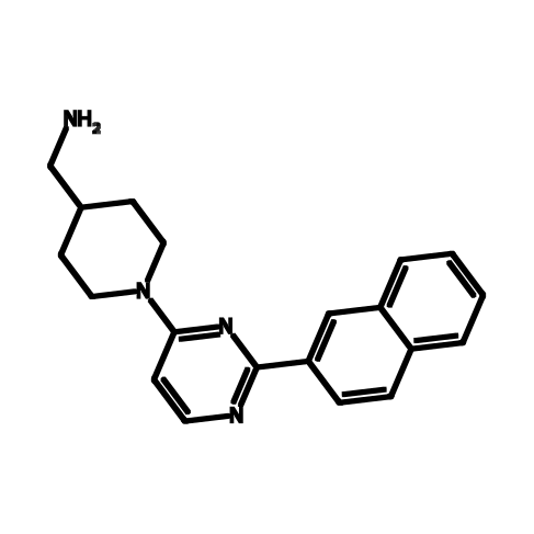 NCC1CCN(c2ccnc(-c3ccc4ccccc4c3)n2)CC1